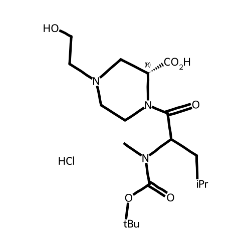 CC(C)CC(C(=O)N1CCN(CCO)C[C@@H]1C(=O)O)N(C)C(=O)OC(C)(C)C.Cl